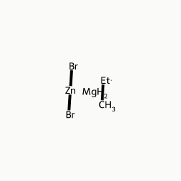 C[CH]C.[Br][Zn][Br].[MgH2]